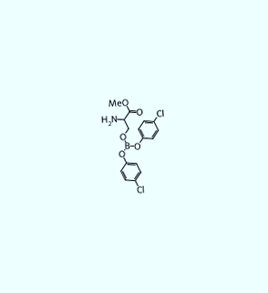 COC(=O)C(N)COB(Oc1ccc(Cl)cc1)Oc1ccc(Cl)cc1